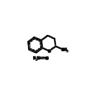 O=[SiH2].[SiH3]C1CCc2ccccc2O1